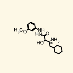 COc1cccc(NNC(=O)C(O)[C@H](N)CC2CCCCC2)c1